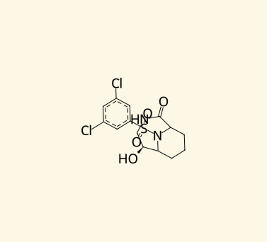 O=C1NC[C@H](O)C2CCCC1N2S(=O)(=O)c1cc(Cl)cc(Cl)c1